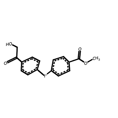 COC(=O)c1ccc([I+]c2ccc(C(=O)CO)cc2)cc1